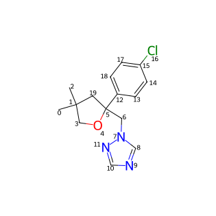 CC1(C)COC(Cn2cncn2)(c2ccc(Cl)cc2)C1